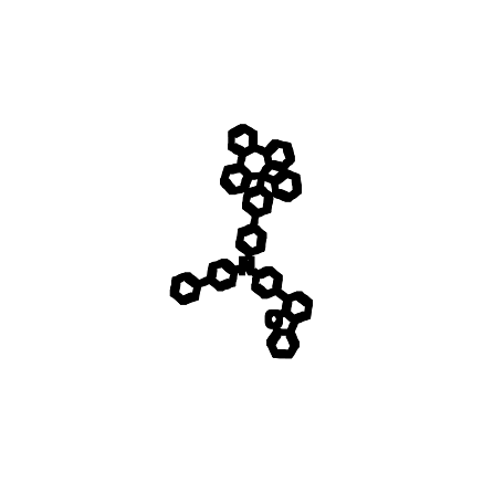 c1ccc(-c2ccc(N(c3ccc(-c4ccc(C5(c6ccccc6)c6ccccc6-c6ccccc6-c6ccccc65)cc4)cc3)c3ccc(-c4cccc5c4oc4ccccc45)cc3)cc2)cc1